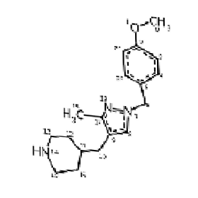 COc1ccc(Cn2cc(CC3CCNCC3)c(C)n2)cc1